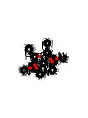 CC(C)c1c(-n2c3ccc(-c4ccccn4)cc3c3cc(-c4ccccn4)ccc32)c(-n2c3ccccc3c3ccccc32)c(C#N)c(-n2c3ccccc3c3ccccc32)c1-n1c2ccc(-c3ccccn3)cc2c2cc(-c3ccccn3)ccc21